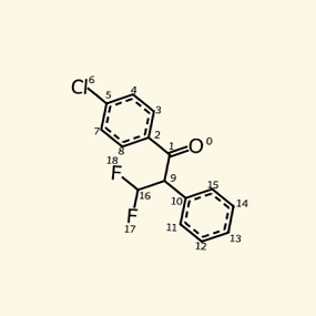 O=C(c1ccc(Cl)cc1)C(c1ccccc1)C(F)F